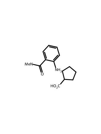 CNC(=O)c1ccccc1N.O=C(O)C1CCCC1